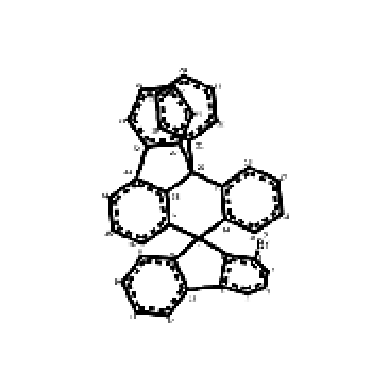 Brc1cccc2c1C1(c3ccccc3-2)c2ccccc2C2(c3ccccc3)c3ccccc3-c3cccc1c32